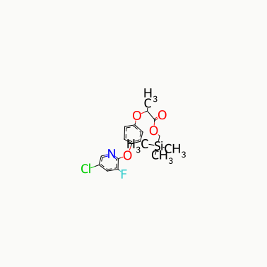 CC(Oc1ccc(Oc2ncc(Cl)cc2F)cc1)C(=O)OC[Si](C)(C)C